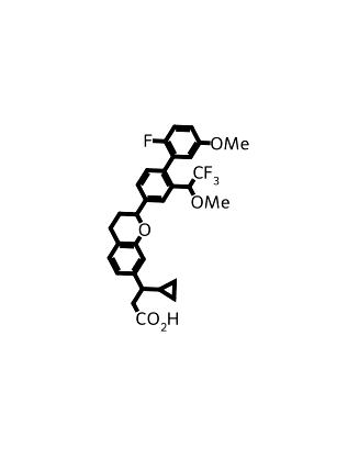 COc1ccc(F)c(-c2ccc(C3CCc4ccc(C(CC(=O)O)C5CC5)cc4O3)cc2C(OC)C(F)(F)F)c1